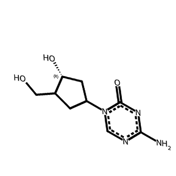 Nc1ncn(C2CC(CO)[C@H](O)C2)c(=O)n1